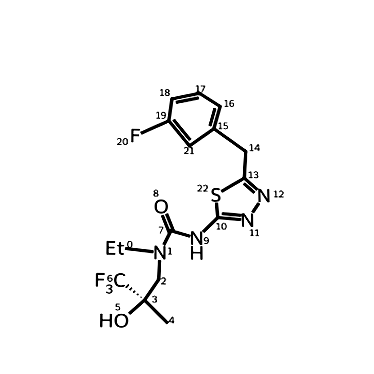 CCN(C[C@@](C)(O)C(F)(F)F)C(=O)Nc1nnc(Cc2cccc(F)c2)s1